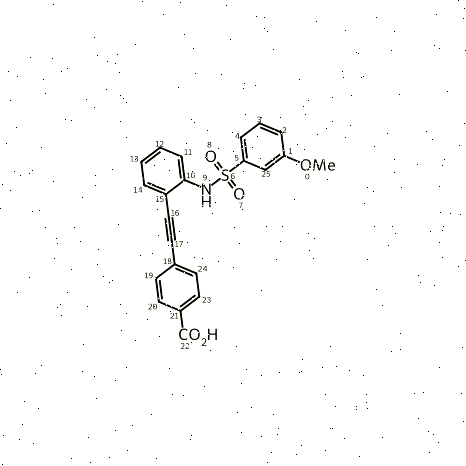 COc1cccc(S(=O)(=O)Nc2ccccc2C#Cc2ccc(C(=O)O)cc2)c1